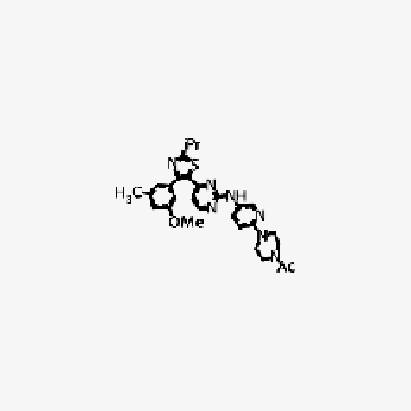 COc1cc(C)cc(-c2nc(C(C)C)sc2-c2ccnc(Nc3ccc(N4CCN(C(C)=O)CC4)nc3)n2)c1